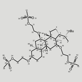 CCCC[C@H](C)[C@H]1CC[C@H]2[C@@H]3[C@H](OCCOS(C)(=O)=O)C[C@@H]4C[C@H](OCCOS(C)(=O)=O)CC[C@]4(C)[C@H]3C[C@H](OCCOS(C)(=O)=O)[C@]12C